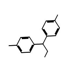 OCC(c1ccc(Cl)cc1)c1ccc(Cl)cc1